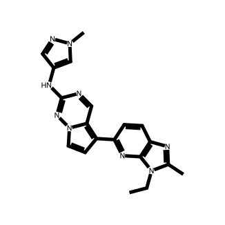 CCn1c(C)nc2ccc(-c3ccn4nc(Nc5cnn(C)c5)ncc34)nc21